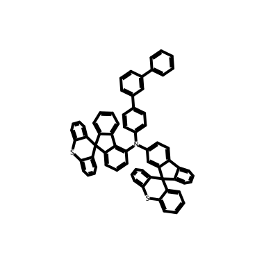 c1ccc(-c2cccc(-c3ccc(N(c4ccc5c(c4)C4(c6ccccc6Sc6ccccc64)c4ccccc4-5)c4cccc5c4-c4ccccc4C54c5ccccc5Sc5ccccc54)cc3)c2)cc1